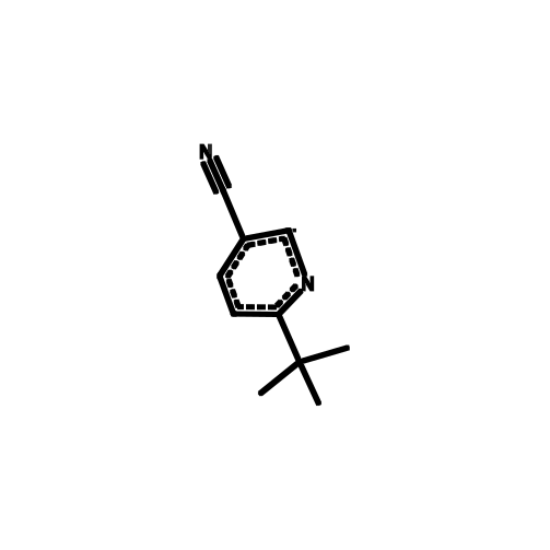 CC(C)(C)c1ccc(C#N)[c]n1